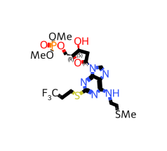 COP(=O)(OC)OC[C@H]1O[C@@H](n2cnc3c(NCCSC)nc(SCCC(F)(F)F)nc32)C[C@@H]1O